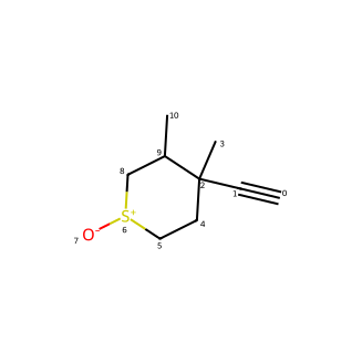 C#CC1(C)CC[S+]([O-])CC1C